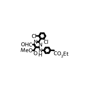 CCOC(=O)Cc1ccc(Nc2nc(-c3c(Cl)cccc3Cl)nc(C=O)c2C(=O)OC)cc1